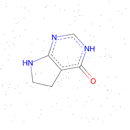 O=c1[nH]cnc2c1CCN2